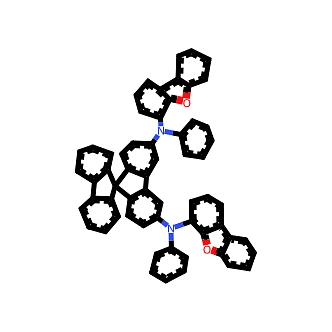 c1ccc(N(c2ccc3c(c2)-c2cc(N(c4ccccc4)c4cccc5c4oc4ccccc45)ccc2C32c3ccccc3-c3ccccc32)c2cccc3c2oc2ccccc23)cc1